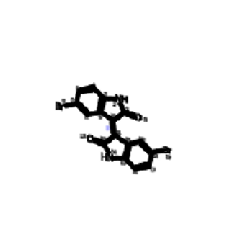 O=C1Nc2ccc(Br)cc2/C1=C1\C(=O)Nc2ccc(Br)cc21